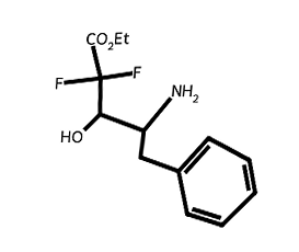 CCOC(=O)C(F)(F)C(O)C(N)Cc1ccccc1